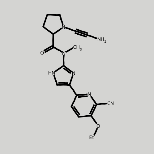 CCOc1ccc(-c2c[nH]c(N(C)C(=O)C3CCCN3C#CN)n2)nc1C#N